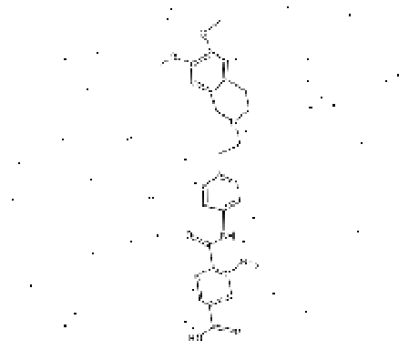 COc1cc2c(cc1OC)CN(CCc1ccc(NC(=O)c3ccc(C(=O)O)cc3N)cc1)CC2